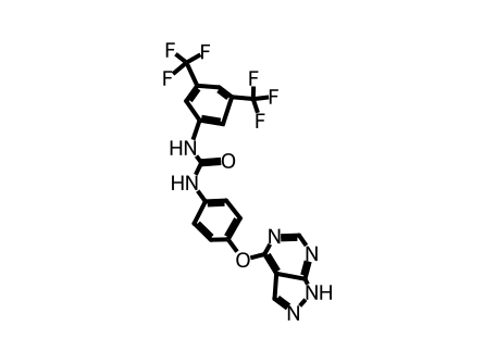 O=C(Nc1ccc(Oc2ncnc3[nH]ncc23)cc1)Nc1cc(C(F)(F)F)cc(C(F)(F)F)c1